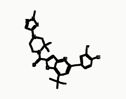 Cn1ncc(N2CCN(C(=O)c3cc4nc(-c5ccc(Cl)c(F)c5)cc(C(C)(C)C)c4o3)C(C)(C)C2)n1